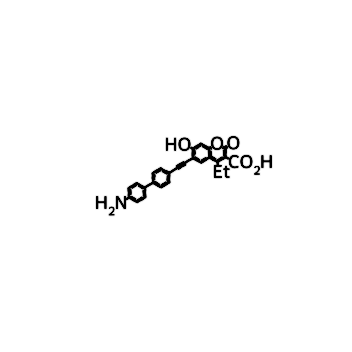 CCc1c(C(=O)O)c(=O)oc2cc(O)c(C#Cc3ccc(-c4ccc(N)cc4)cc3)cc12